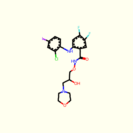 O=C(NOCC(O)CN1CCOCC1)c1cc(F)c(F)cc1Nc1ccc(I)cc1Cl